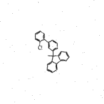 CC1(c2cccc(-c3ccccc3Cl)c2)c2ccccc2-c2ccccc21